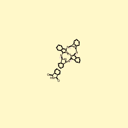 O=C1NC(=O)c2ccccc21.c1ccc2c(c1)C1=NC/2=N\c2c3ccccc3c3[n]2[Cu][n]2/c(c4ccccc4/c2=N/C2=N\C(=N/3)c3ccccc32)=N\1